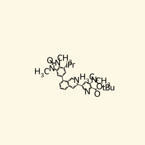 CC(C)c1cc(-c2cccc3cc(-c4cnc(C(=O)OC(C)(C)C)c(N(C)C)c4)ncc23)cc2c1n(C)c(=O)n2C